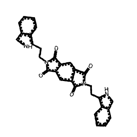 O=c1c2cc3c(=O)n(CCc4[nH]cc5ccccc45)c(=O)c3cc2c(=O)n1CCc1[nH]cc2ccccc12